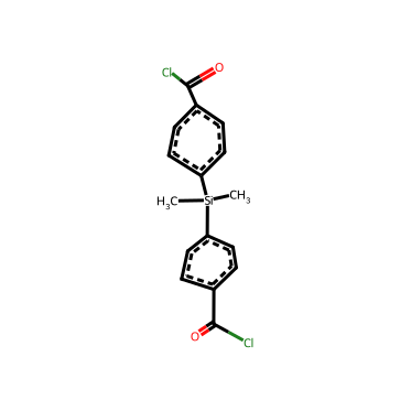 C[Si](C)(c1ccc(C(=O)Cl)cc1)c1ccc(C(=O)Cl)cc1